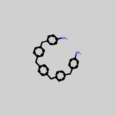 Nc1ccc(Cc2ccc(Cc3ccc(Cc4ccc(Cc5ccc(N)cc5)cc4)cc3)cc2)cc1